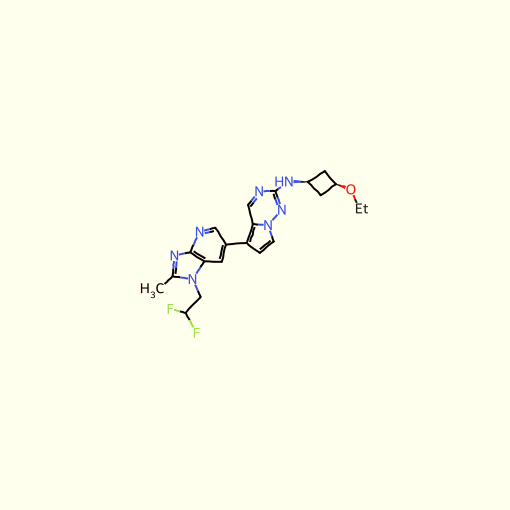 CCO[C@H]1C[C@@H](Nc2ncc3c(-c4cnc5nc(C)n(CC(F)F)c5c4)ccn3n2)C1